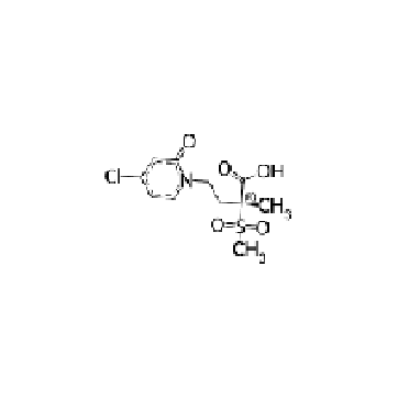 C[C@@](CCn1ccc(Cl)cc1=O)(C(=O)O)S(C)(=O)=O